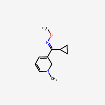 CON=C(C1=CC=CN(C)C1)C1CC1